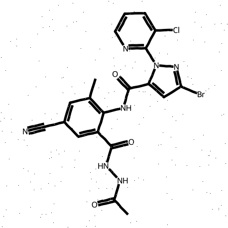 CC(=O)NNC(=O)c1cc(C#N)cc(C)c1NC(=O)c1cc(Br)nn1-c1ncccc1Cl